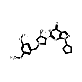 COc1cc(CN2C[C@@H](C)[C@H](c3nc4c(cnn4C4CCCC4)c(=O)[nH]3)C2)cc(OC)c1